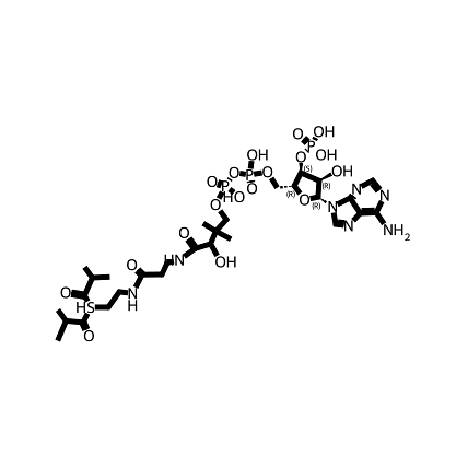 CC(C)C(=O)[SH](CCNC(=O)CCNC(=O)C(O)C(C)(C)COP(=O)(O)OP(=O)(O)OC[C@H]1O[C@@H](n2cnc3c(N)ncnc32)[C@H](O)[C@@H]1OP(=O)(O)O)C(=O)C(C)C